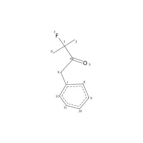 CC(C)(F)C(=O)Cc1ccccc1